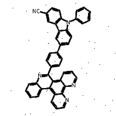 N#Cc1ccc2c(c1)c1cc(-c3ccc(-c4nc5ccccc5c5c6cccnc6c6ncccc6c45)cc3)ccc1n2-c1ccccc1